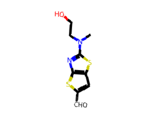 CN(CCO)c1nc2sc(C=O)cc2s1